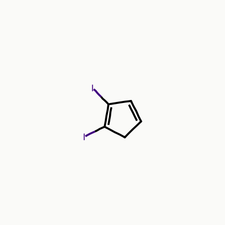 IC1=C(I)CC=C1